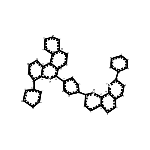 c1ccc(-c2ccc3ccc4ccc(-c5ccc(-c6nc7c(-c8ccccc8)cccc7c7c6ccc6ccccc67)cc5)nc4c3n2)cc1